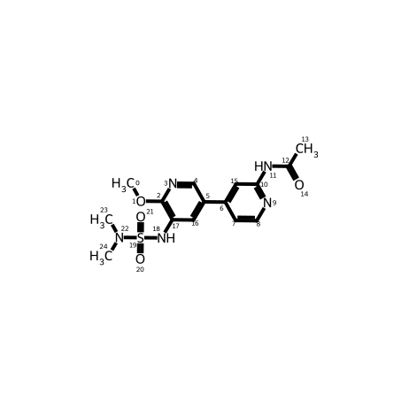 COc1ncc(-c2ccnc(NC(C)=O)c2)cc1NS(=O)(=O)N(C)C